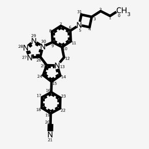 CCCC1CN(c2ccc3c(c2)Cn2cc(-c4ccc(C#N)cc4)cc2-c2nnnn2-3)C1